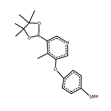 CSc1ccc(Oc2cncc(B3OC(C)(C)C(C)(C)O3)c2C)cc1